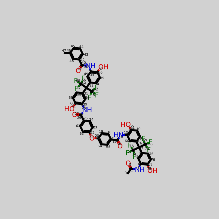 CC(=O)Nc1cc(C(c2ccc(O)c(NC(=O)c3ccc(Oc4ccc(C(=O)Nc5cc(C(c6ccc(O)c(NC(=O)c7cccc(C)c7)c6)(C(F)(F)F)C(F)(F)F)ccc5O)cc4)cc3)c2)(C(F)(F)F)C(F)(F)F)ccc1O